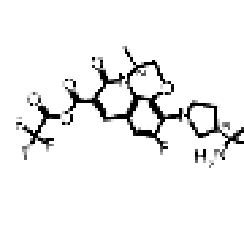 C[C@H]1COc2c(N3CC[C@@H](C4(N)CC4)C3)c(F)cc3cc(C(=O)OC(=O)C(F)(F)F)c(=O)n1c23